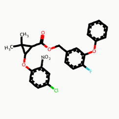 CC1(C)C(Oc2ccc(Cl)cc2[N+](=O)[O-])C1C(=O)OCc1ccc(F)c(Oc2ccccc2)c1